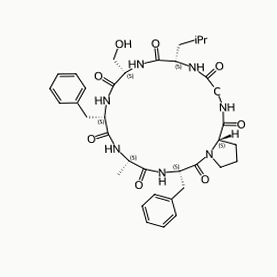 CC(C)C[C@@H]1NC(=O)CNC(=O)[C@@H]2CCCN2C(=O)[C@H](Cc2ccccc2)NC(=O)[C@H](C)NC(=O)[C@H](Cc2ccccc2)NC(=O)[C@H](CO)NC1=O